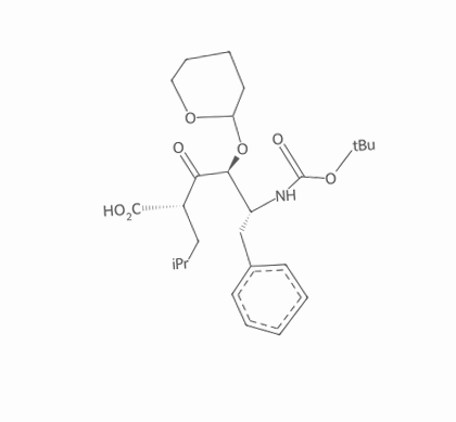 CC(C)C[C@H](C(=O)O)C(=O)[C@@H](OC1CCCCO1)[C@@H](Cc1ccccc1)NC(=O)OC(C)(C)C